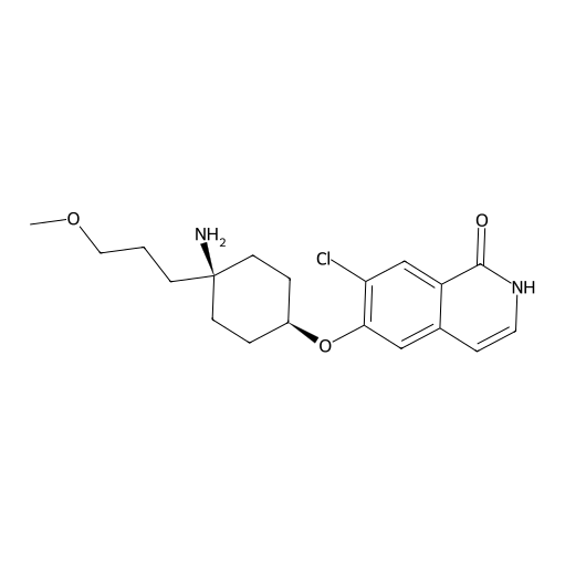 COCCC[C@]1(N)CC[C@@H](Oc2cc3cc[nH]c(=O)c3cc2Cl)CC1